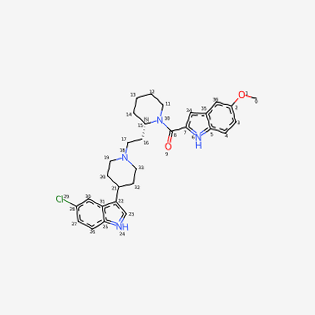 COc1ccc2[nH]c(C(=O)N3CCCC[C@H]3CCN3CCC(c4c[nH]c5ccc(Cl)cc45)CC3)cc2c1